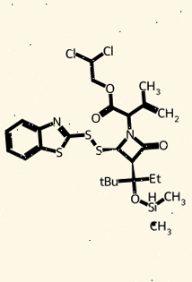 C=C(C)C(C(=O)OCC(Cl)Cl)N1C(=O)[C@@H](C(CC)(O[SiH](C)C)C(C)(C)C)[C@H]1SSc1nc2ccccc2s1